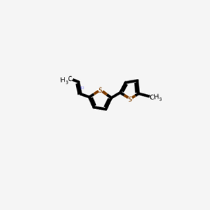 C/C=C/c1ccc(-c2ccc(C)s2)s1